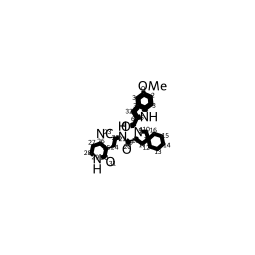 COc1ccc2[nH]c(C(=O)N3CC4(CCCCC4)C[C@H]3C(=O)N[C@H](C#N)C[C@@H]3CCCNC3=O)cc2c1